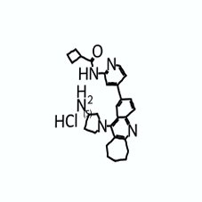 Cl.N[C@H]1CCN(c2c3c(nc4ccc(-c5ccnc(NC(=O)C6CCC6)c5)cc24)CCCCC3)C1